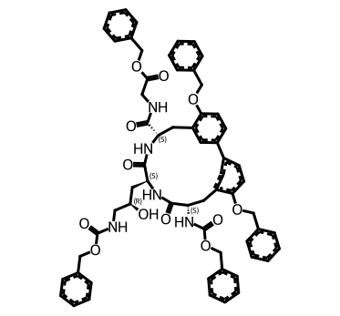 O=C(CNC(=O)[C@@H]1Cc2cc(ccc2OCc2ccccc2)-c2ccc(OCc3ccccc3)c(c2)C[C@H](NC(=O)OCc2ccccc2)C(=O)N[C@@H](C[C@@H](O)CNC(=O)OCc2ccccc2)C(=O)N1)OCc1ccccc1